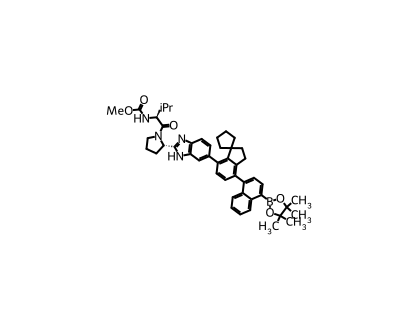 COC(=O)N[C@H](C(=O)N1CCC[C@H]1c1nc2ccc(-c3ccc(-c4ccc(B5OC(C)(C)C(C)(C)O5)c5ccccc45)c4c3C3(CCCC3)CC4)cc2[nH]1)C(C)C